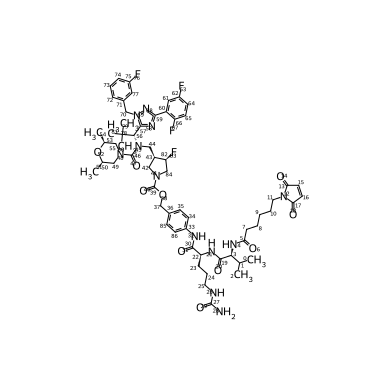 CC(C)[C@H](NC(=O)CCCCCN1C(=O)C=CC1=O)C(=O)N[C@@H](CCCNC(N)=O)C(=O)Nc1ccc(COC(=O)N2C[C@@H](CN(C(=O)N3C[C@@H](C)O[C@@H](C)C3)[C@@H](c3nc(-c4cc(F)ccc4F)nn3Cc3cccc(F)c3)C(C)(C)C)[C@@H](F)C2)cc1